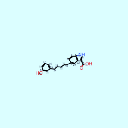 O=C(O)c1c[nH]c2ccc(CCCCCc3cccc(O)c3)cc12